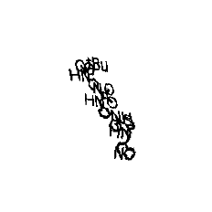 CC(C)(C)OC(=O)NC1CCN(c2c(Nc3cccc(NC(=O)c4sccc4NCc4ccnc5ccccc45)c3)c(=O)c2=O)CC1